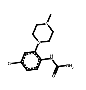 CN1CCN(c2cc(Cl)ccc2NC(N)=O)CC1